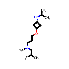 CC(C)CN(C)CCCO[C@H]1C[C@H](NC(C)C)C1